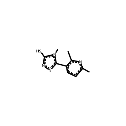 Cc1ccc(-c2nnc(S)n2C)c(C)n1